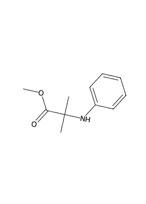 COC(=O)C(C)(C)Nc1ccccc1